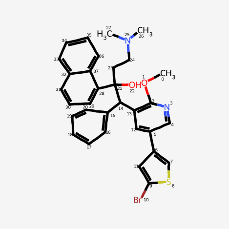 COc1ncc(-c2csc(Br)c2)cc1C(c1ccccc1)C(O)(CCN(C)C)c1cccc2ccccc12